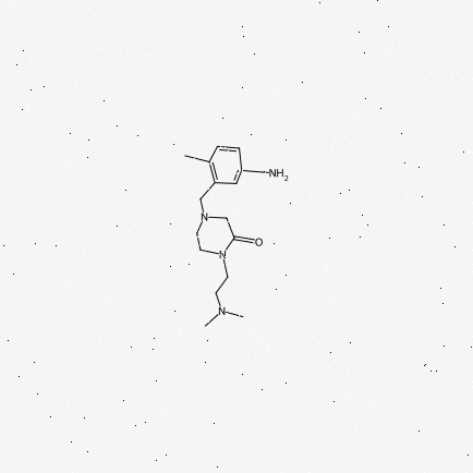 Cc1ccc(N)cc1CN1CCN(CCN(C)C)C(=O)C1